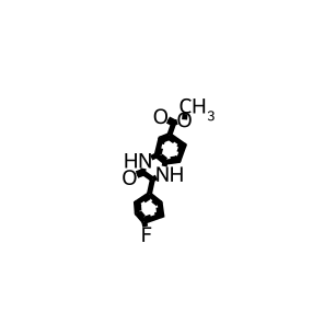 COC(=O)c1ccc2c(c1)NC(=O)C(c1ccc(F)cc1)N2